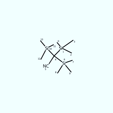 C[Si](C)(C)C(C#N)([Si](C)(C)C)[Si](C)(C)C